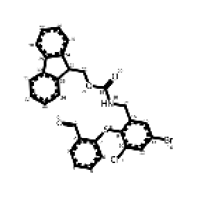 O=Cc1ccccc1Sc1c(Cl)cc(Br)cc1CNC(=O)OCC1c2ccccc2-c2ccccc21